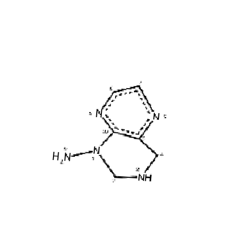 NN1CNCc2nccnc21